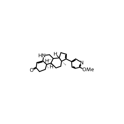 COc1ccc(C2=CC[C@H]3[C@@H]4CNC5=CC(=O)CC[C@]5(C)[C@H]4CC[C@]23C)cn1